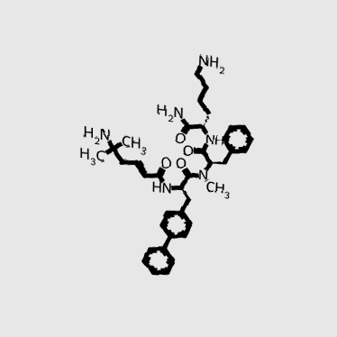 CN(C(=O)[C@@H](Cc1ccc(-c2ccccc2)cc1)NC(=O)/C=C/CC(C)(C)N)[C@H](Cc1ccccc1)C(=O)N[C@@H](CCCCN)C(N)=O